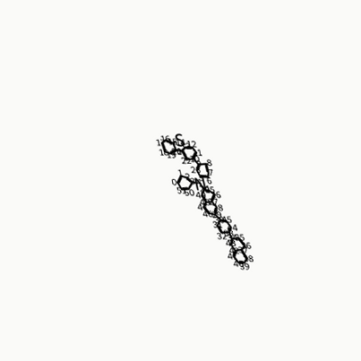 c1ccc(N(c2cccc(-c3ccc4sc5ccccc5c4c3)c2)c2ccc3cc(-c4ccc(-c5ccc6ccccc6c5)cc4)ccc3c2)cc1